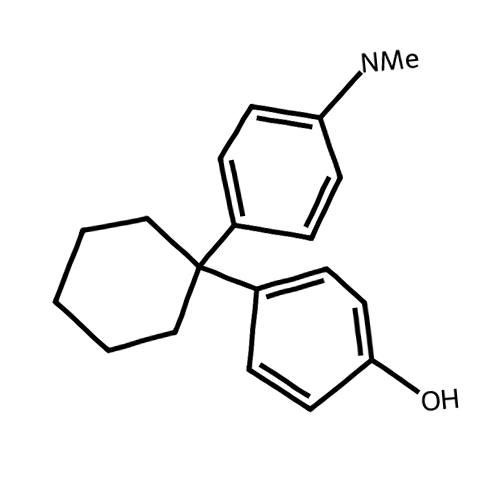 CNc1ccc(C2(c3ccc(O)cc3)CCCCC2)cc1